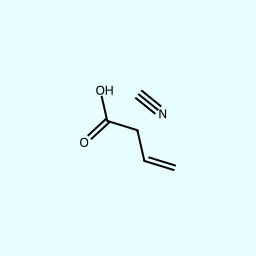 C#N.C=CCC(=O)O